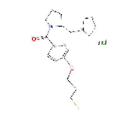 Cl.O=C(c1ccc(OCCCF)cc1)N1CCCC1CN1CCCC1